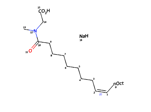 CCCCCCCC/C=C\CCCCCCCC(=O)N(C)CC(=O)O.[NaH]